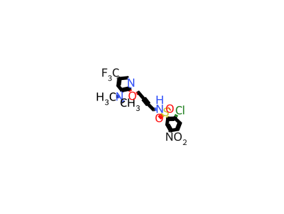 CN(C)c1cc(C(F)(F)F)cnc1OCC#CCNS(=O)(=O)c1cc([N+](=O)[O-])ccc1Cl